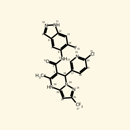 CC1=C(C(=O)Nc2cc3cn[nH]c3cc2F)C(c2ccc(Cl)nc2)n2nc(C(F)(F)F)cc2N1